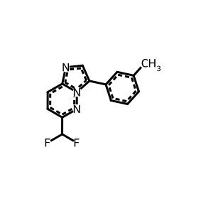 Cc1cccc(-c2cnc3ccc(C(F)F)nn23)c1